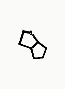 [CH]1CC2CCCC2S1